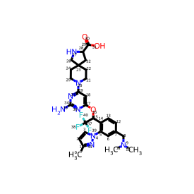 Cc1ccn(-c2cc(CN(C)C)ccc2C(Oc2cc(N3CCC4(CC3)CNC(C(=O)O)C4)nc(N)n2)C(F)(F)F)n1